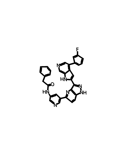 O=C(Cc1ccccc1)Nc1cncc(-c2ccc3[nH]nc(-c4cc5c(-c6cccc(F)c6)cncc5[nH]4)c3n2)c1